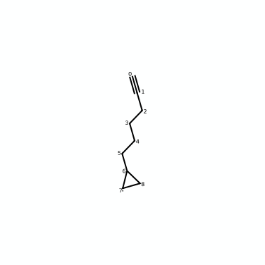 C#CCCCCC1[CH]C1